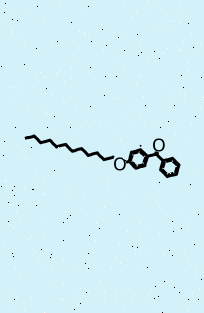 CCCCCCCCCCCCOc1c[c]c(C(=O)c2ccccc2)cc1